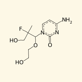 CC(F)(CO)C(OCCO)n1ccc(N)nc1=O